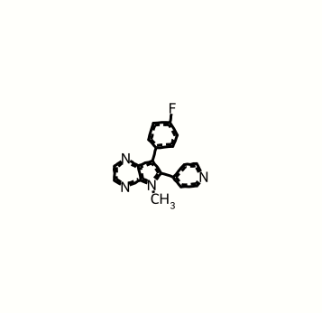 Cn1c(-c2ccncc2)c(-c2ccc(F)cc2)c2nccnc21